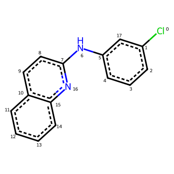 Clc1cccc(Nc2ccc3ccccc3n2)c1